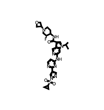 CC(C)n1cc(C(=O)NC2CCN(C3COC3)C[C@@H]2F)c2cnc(Nc3ccnc(-c4cnn(S(=O)(=O)C5CC5)c4)n3)cc21